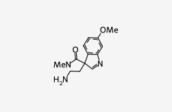 CNC(=O)C1(CCN)C=Nc2cc(OC)ccc21